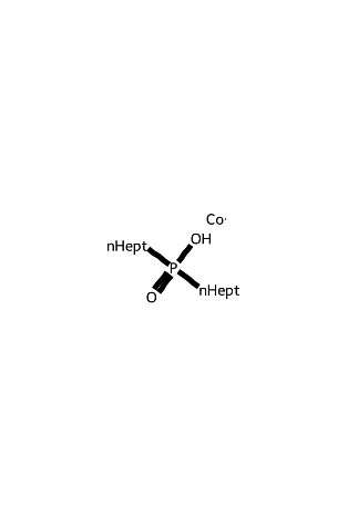 CCCCCCCP(=O)(O)CCCCCCC.[Co]